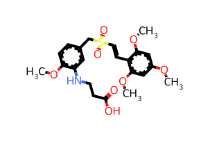 COc1cc(OC)c(/C=C/S(=O)(=O)Cc2ccc(OC)c(NCCC(=O)O)c2)c(OC)c1